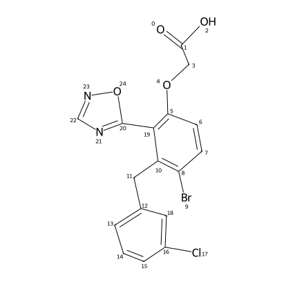 O=C(O)COc1ccc(Br)c(Cc2cccc(Cl)c2)c1-c1ncno1